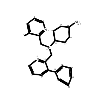 Cc1cccnc1CN(Cc1ncccc1-c1ccccc1)C1CCC(N)CC1